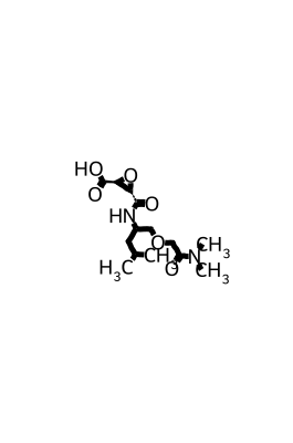 CC(C)CC(COCC(=O)N(C)C)NC(=O)[C@H]1O[C@@H]1C(=O)O